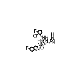 CN(C(=O)NCc1cccc(F)c1Cl)[C@H](COC(=O)Nc1cc2cc(F)ccc2cn1)CC1CNC=N1